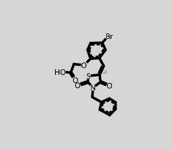 O=C(O)COc1ccc(Br)cc1/C=C1\SC(=O)N(Cc2ccccc2)C1=O